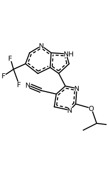 CC(C)Oc1ncc(C#N)c(-c2c[nH]c3ncc(C(F)(F)F)cc23)n1